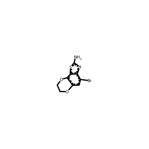 Nc1nc2c(Br)cc3c(c2s1)OCCO3